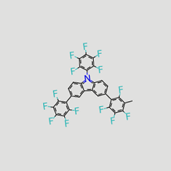 Cc1c(F)c(F)c(F)c(-c2ccc3c(c2)c2cc(-c4c(F)c(F)c(F)c(F)c4F)ccc2n3-c2c(F)c(F)c(F)c(F)c2F)c1F